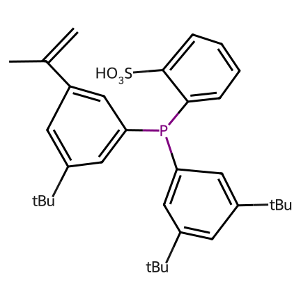 C=C(C)c1cc(P(c2cc(C(C)(C)C)cc(C(C)(C)C)c2)c2ccccc2S(=O)(=O)O)cc(C(C)(C)C)c1